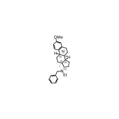 CCN(Cc1ccccc1)[C@H]1CC[C@H]2[C@@H]3CCc4cc(OC)ccc4[C@H]3CC[C@]12C